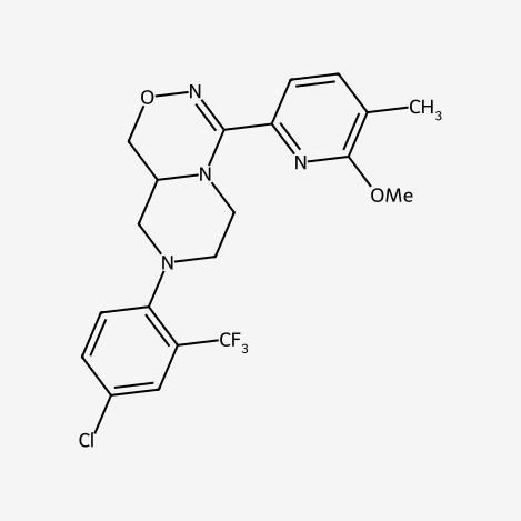 COc1nc(C2=NOCC3CN(c4ccc(Cl)cc4C(F)(F)F)CCN23)ccc1C